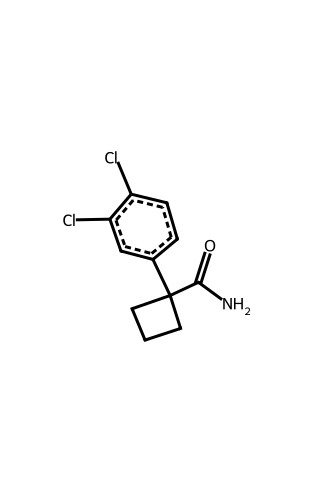 NC(=O)C1(c2ccc(Cl)c(Cl)c2)CCC1